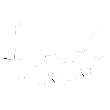 CC1(C)C(=O)C(C#N)=C[C@]2(C)C3=CC(=O)C4[C@@H]5C[C@@](C)(N6CC(O)C6)CC[C@]5(C)CC[C@@]4(C)[C@]3(C)CC[C@@H]12